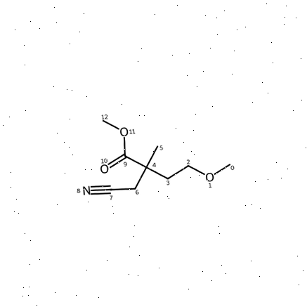 COCCC(C)(CC#N)C(=O)OC